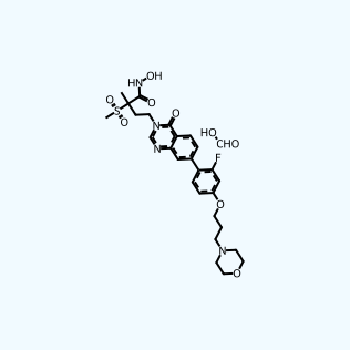 CC(CCn1cnc2cc(-c3ccc(OCCCN4CCOCC4)cc3F)ccc2c1=O)(C(=O)NO)S(C)(=O)=O.O=CO